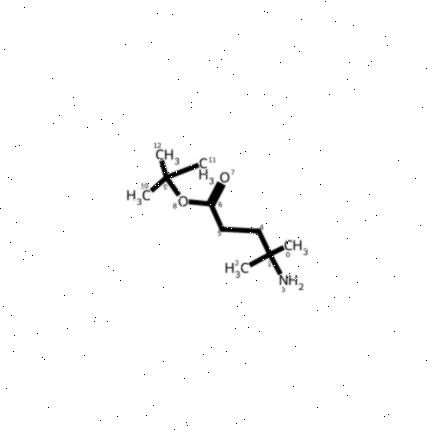 CC(C)(N)CCC(=O)OC(C)(C)C